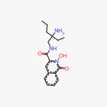 CCCC(N)(CC)CNC(=O)c1cc2ccccc2c(=O)n1O